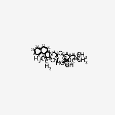 CC1=[N+](CC(=O)OCCC(C[N+](C)(C)C)OP(=O)(O)O)c2ccc3ccccc3c2C1(C)C